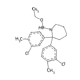 CCOBN1CCCCC1(c1ccc(C)c(Cl)c1)c1ccc(C)c(Cl)c1